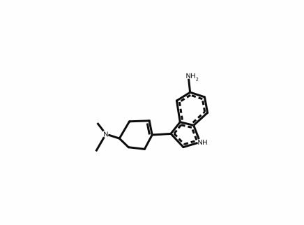 CN(C)C1CC=C(c2c[nH]c3ccc(N)cc23)CC1